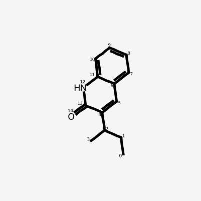 CCC(C)c1cc2ccccc2[nH]c1=O